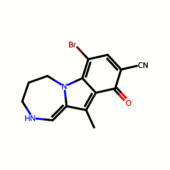 Cc1c2c(n3c1=CNCCC3)=C(Br)C=C(C#N)C2=O